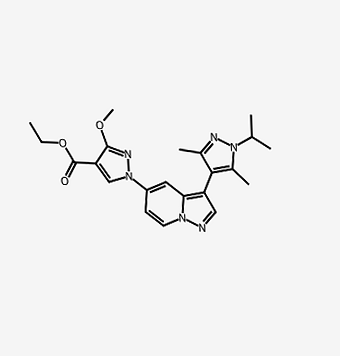 CCOC(=O)c1cn(-c2ccn3ncc(-c4c(C)nn(C(C)C)c4C)c3c2)nc1OC